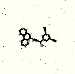 C#Cc1cc(C#C)cc(C(N)C#Cc2cc3ccccc3c3ccccc23)c1